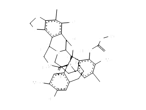 COc1cc2c(cc1O)CCN[C@]21CS[C@@H]2c3c(OC(C)=O)c(C)c4c(c3[C@H](COC1=O)N1C2[C@H]2c3c(cc(C)c(OC)c3OC(=O)OC(C)(C)C)C[C@@H]([C@@H]1O)N2C)OCO4